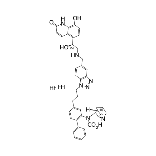 F.F.O=C(O)N(c1cc(CCCn2nnc3cc(CNC[C@@H](O)c4ccc(O)c5[nH]c(=O)ccc45)ccc32)ccc1-c1ccccc1)[C@H]1CN2CCC1CC2